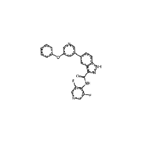 O=C(Nc1c(F)cncc1F)c1n[nH]c2ccc(-c3cncc(Oc4ccccc4)c3)cc12